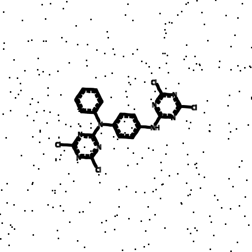 Clc1nc(Cl)nc(Nc2ccc(N(c3ccccc3)c3nc(Cl)nc(Cl)n3)cc2)n1